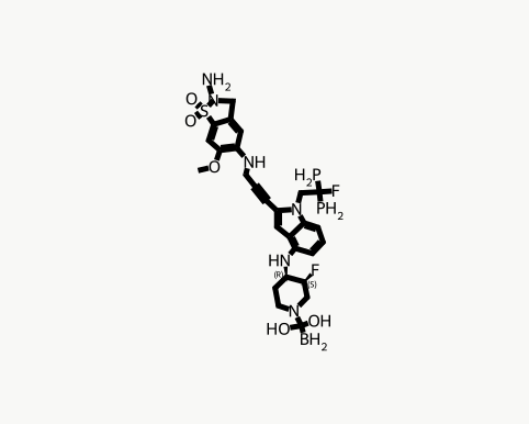 BC(O)(O)N1CC[C@@H](Nc2cccc3c2cc(C#CCNc2cc4c(cc2OC)S(=O)(=O)N(N)C4)n3CC(F)(P)P)[C@@H](F)C1